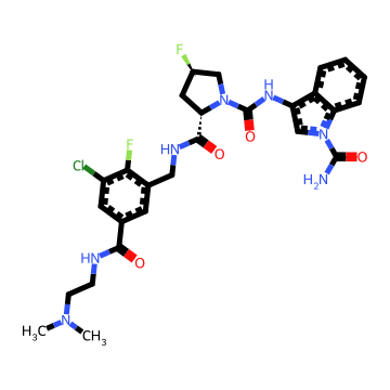 CN(C)CCNC(=O)c1cc(Cl)c(F)c(CNC(=O)[C@@H]2C[C@@H](F)CN2C(=O)Nc2cn(C(N)=O)c3ccccc23)c1